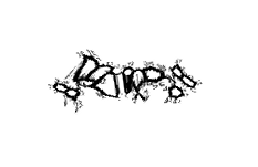 CC1(C)c2cc(-c3ccc4c5c3ccc3cccc(c35)n4-c3cccc4ccccc34)ccc2-c2ccc(N(c3ccccc3)c3cccc4ccccc34)cc21